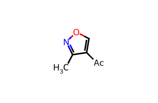 CC(=O)c1conc1C